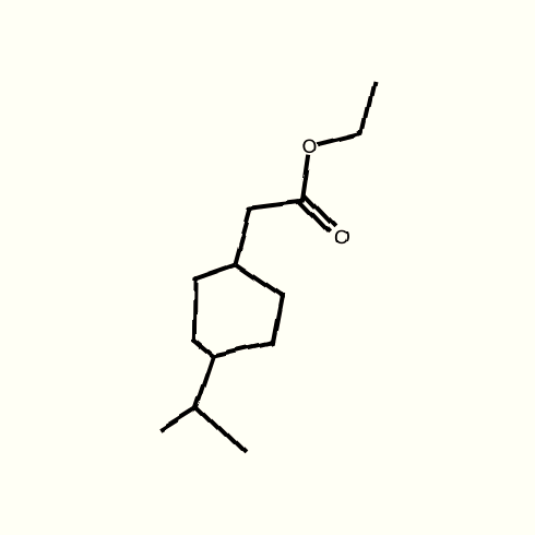 CCOC(=O)CC1CCC(C(C)C)CC1